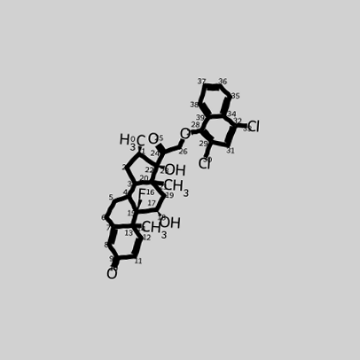 C[C@@H]1CC2C3CCC4=CC(=O)C=CC4(C)[C@@]3(F)[C@@H](O)CC2(C)[C@@]1(O)C(=O)COc1c(Cl)cc(Cl)c2ccccc12